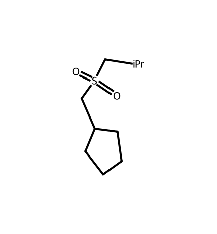 CC(C)CS(=O)(=O)CC1CCCC1